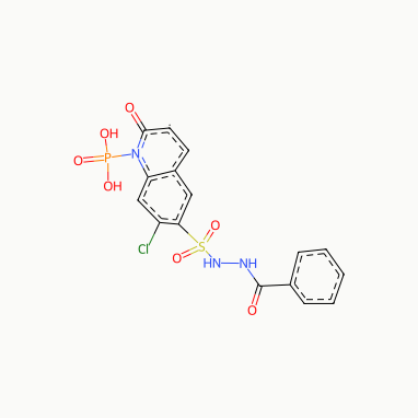 O=C(NNS(=O)(=O)c1cc2c[c]c(=O)n(P(=O)(O)O)c2cc1Cl)c1ccccc1